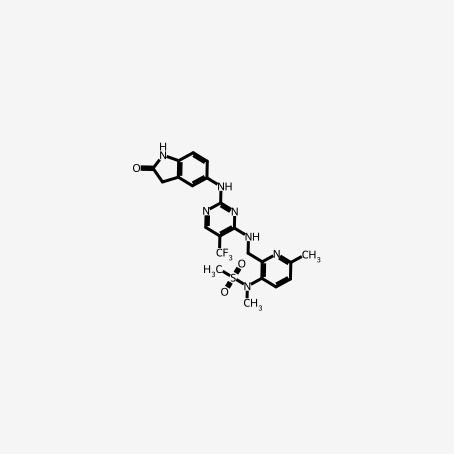 Cc1ccc(N(C)S(C)(=O)=O)c(CNc2nc(Nc3ccc4c(c3)CC(=O)N4)ncc2C(F)(F)F)n1